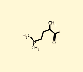 CC(CCN(C)C)C(=O)I